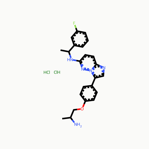 CC(N)COc1ccc(-c2cnc3ccc(NC(C)c4cccc(F)c4)nn23)cc1.Cl.Cl